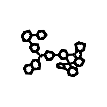 c1ccc(-c2ccccc2-c2ccc(N(c3ccc(-c4ccc5c(c4)C4(c6ccccc6-c6ccccc64)c4cccc6c7ccccc7n-5c46)cc3)c3ccc4ccccc4c3)cc2)cc1